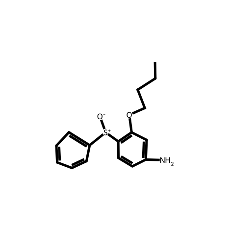 CCCCOc1cc(N)ccc1[S+]([O-])c1ccccc1